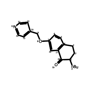 CCCCC1CCc2ccc(OCc3ccncc3)cc2C1=O